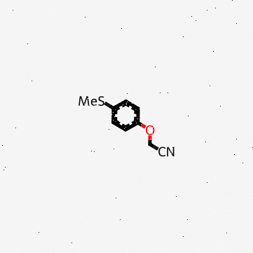 CSc1ccc(OCC#N)cc1